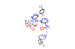 CN1CCCN(CC(=O)Nc2cc(Nc3cc(-c4cc(Cl)ccc4F)nnc3N(C)CC3(C)C(=O)COC3=O)ncn2)CC1